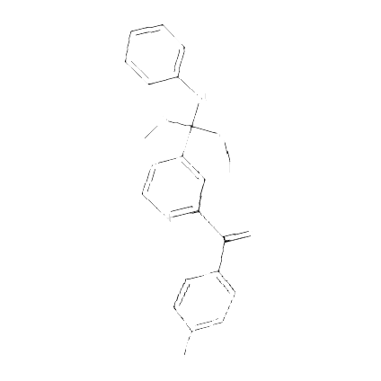 CCOC(Nc1ccccc1)(OCC)c1ccnc(C(=O)c2ccc(Cl)cc2)c1